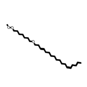 CCCC/C=C\CCCCCCCC/C=C/CCOCCCCCCCOOC